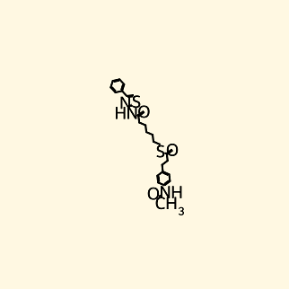 CC(=O)Nc1ccc(CCC(=O)SCCCCCCC(=O)Nc2nc(-c3ccccc3)cs2)cc1